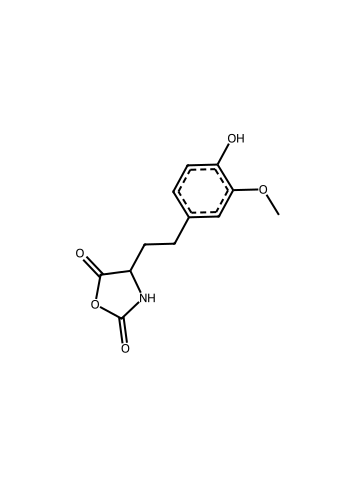 COc1cc(CCC2NC(=O)OC2=O)ccc1O